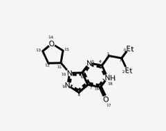 CCC(CC)Cc1nc2c(cnn2C2CCOC2)c(=O)[nH]1